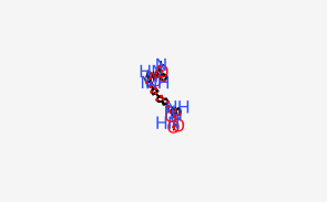 COC(=O)NCC(=O)N1CCC[C@H]1c1ncc(-c2ccc3cc(-c4ccc(-c5cnc([C@@H]6CCCN6C(=O)[C@H](NC(=O)CN(C)C)c6ccccc6)[nH]5)cc4)ccc3c2)[nH]1